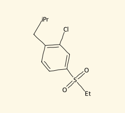 CCS(=O)(=O)c1ccc(CC(C)C)c(Cl)c1